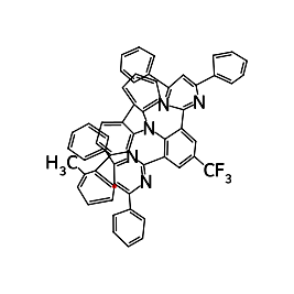 Cc1ccccc1-c1ccc2c3ccccc3n(-c3c(-c4nc(-c5ccccc5)cc(-c5ccccc5)n4)cc(C(F)(F)F)cc3-c3nc(-c4ccccc4)cc(-c4ccccc4)n3)c2c1